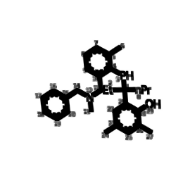 CCCC(CC)(Pc1c(C)cccc1CN(C)Cc1ccccc1)c1cc(C)cc(C)c1O